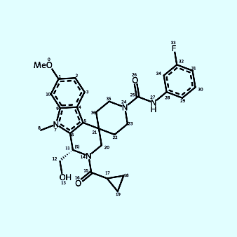 COc1ccc2c3c(n(C)c2c1)[C@@H](CO)N(C(=O)C1CC1)CC31CCN(C(=O)Nc2cccc(F)c2)CC1